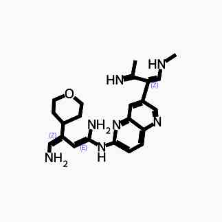 CN/C=C(\C(C)=N)c1cnc2ccc(N/C(N)=C/C(=C\N)C3CCOCC3)nc2c1